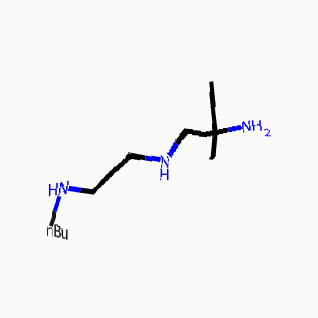 CCCCNCCNCC(C)(C)N